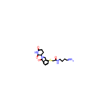 NCCCCNC(=O)CSc1cccc2c1CN(C1CCC(=O)NC1=O)C2=O